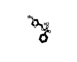 CC(C)(C)N1COC(COS(=O)(=O)c2ccccc2)C1.Cl